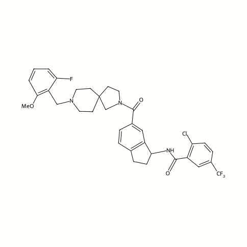 COc1cccc(F)c1CN1CCC2(CC1)CCN(C(=O)c1ccc3c(c1)C(NC(=O)c1cc(C(F)(F)F)ccc1Cl)CC3)C2